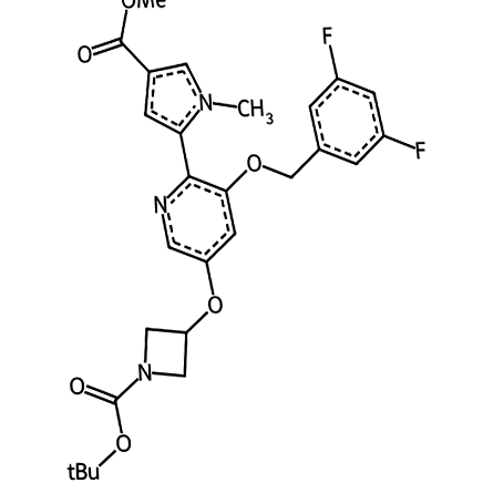 COC(=O)c1cc(-c2ncc(OC3CN(C(=O)OC(C)(C)C)C3)cc2OCc2cc(F)cc(F)c2)n(C)c1